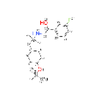 CC(C)(CC1CCC(O[Si](C)(C)C(C)(C)C)CC1)NCC(O)c1cccc(F)c1